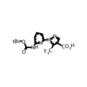 CC(C)(C)OC(=O)Nc1cccc(-n2ncc(C(=O)O)c2C(F)(F)F)n1